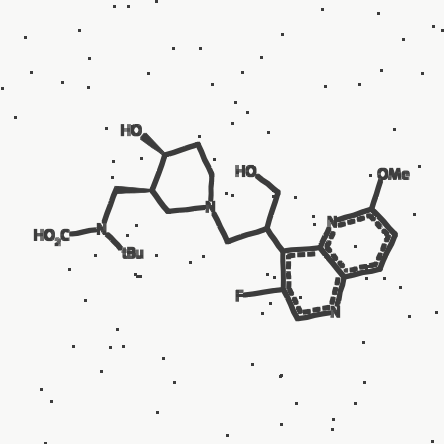 COc1ccc2ncc(F)c(C(CO)CN3CC[C@H](O)[C@H](CN(C(=O)O)C(C)(C)C)C3)c2n1